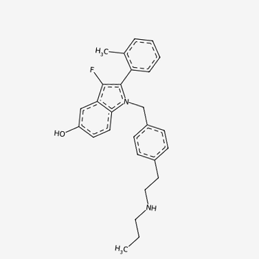 CCCNCCc1ccc(Cn2c(-c3ccccc3C)c(F)c3cc(O)ccc32)cc1